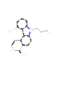 C=C1NC=Cc2c1ccc1c2c2c(C#N)cccc2n1CCCF